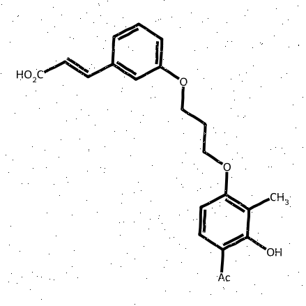 CC(=O)c1ccc(OCCCOc2cccc(/C=C/C(=O)O)c2)c(C)c1O